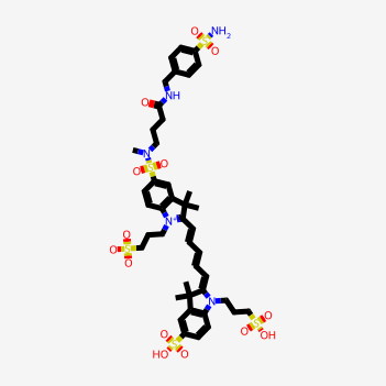 CN(CCCC(=O)NCc1ccc(S(N)(=O)=O)cc1)S(=O)(=O)c1ccc2c(c1)C(C)(C)C(/C=C/C=C/C=C1/N(CCCS(=O)(=O)O)c3ccc(S(=O)(=O)O)cc3C1(C)C)=[N+]2CCCS(=O)(=O)[O-]